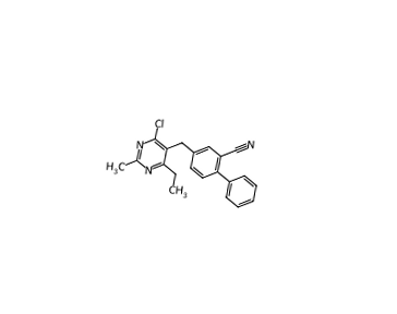 CCc1nc(C)nc(Cl)c1Cc1ccc(-c2ccccc2)c(C#N)c1